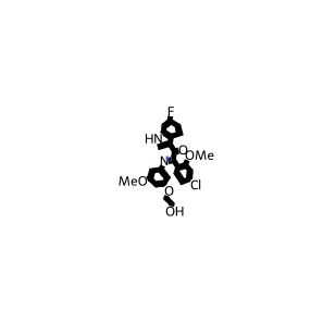 COc1cc(/N=C(/C(=O)c2c[nH]c3cc(F)ccc23)c2ccc(Cl)cc2OC)cc(OCCO)c1